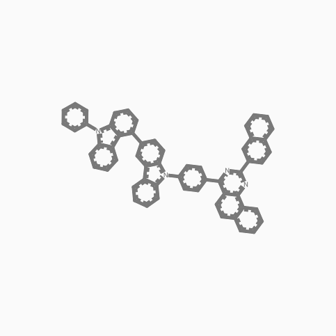 c1ccc(-n2c3ccccc3c3c(-c4ccc5c(c4)c4ccccc4n5-c4ccc(-c5nc(-c6ccc7ccccc7c6)nc6c5ccc5ccccc56)cc4)cccc32)cc1